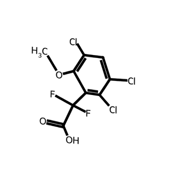 COc1c(Cl)cc(Cl)c(Cl)c1C(F)(F)C(=O)O